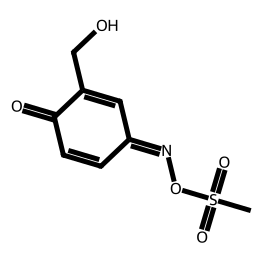 CS(=O)(=O)ON=C1C=CC(=O)C(CO)=C1